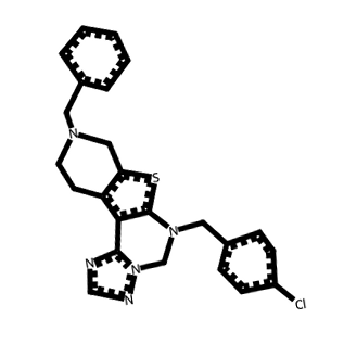 Clc1ccc(CN2Cn3ncnc3-c3c2sc2c3CCN(Cc3ccccc3)C2)cc1